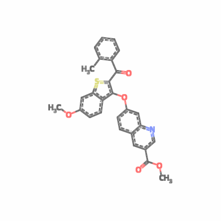 COC(=O)c1cnc2cc(Oc3c(C(=O)c4ccccc4C)sc4cc(OC)ccc34)ccc2c1